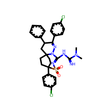 CN(C)C(=N)N/C1=N\S(=O)(=O)C2(c3ccc(Cl)cc3)CCC3(CC2)CC(c2ccccc2)C(c2ccc(Cl)cc2)=NN13